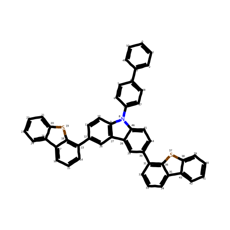 c1ccc(-c2ccc(-n3c4ccc(-c5cccc6c5sc5ccccc56)cc4c4cc(-c5cccc6c5sc5ccccc56)ccc43)cc2)cc1